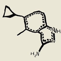 Cc1c(C2CC2)ccc2[nH]nc(N)c12